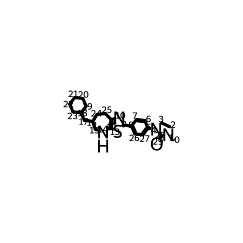 CN1CCN(c2ccc(-c3nc4c(s3)NCC(CC3CCCCC3)CC4)cc2)C1=O